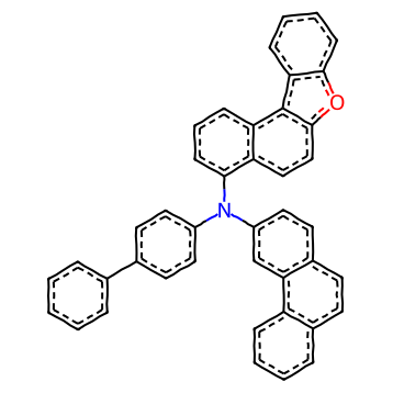 c1ccc(-c2ccc(N(c3ccc4ccc5ccccc5c4c3)c3cccc4c3ccc3oc5ccccc5c34)cc2)cc1